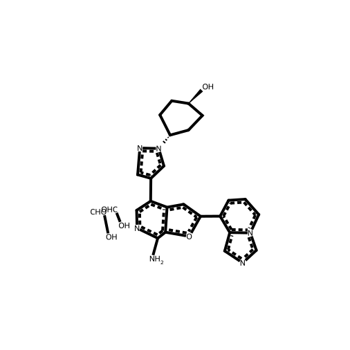 Nc1ncc(-c2cnn([C@H]3CC[C@H](O)CC3)c2)c2cc(-c3cccn4cncc34)oc12.O=CO.O=CO